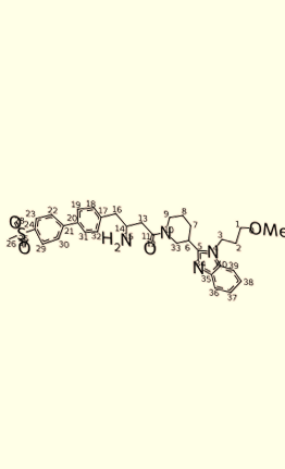 COCCCn1c(C2CCCN(C(=O)CC(N)Cc3ccc(-c4ccc(S(C)(=O)=O)cc4)cc3)C2)nc2ccccc21